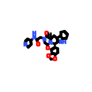 O=C(CN1CC(=O)N2[C@H](c3ccc4c(c3)OCO4)c3[nH]c4ccccc4c3C[C@@H]2C1=O)Nc1ccncc1